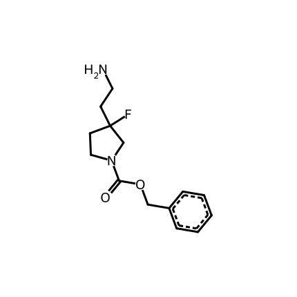 NCCC1(F)CCN(C(=O)OCc2ccccc2)C1